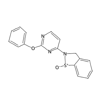 [O-][S+]1c2ccccc2CN1c1ccnc(Oc2ccccc2)n1